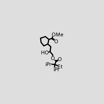 CCC(C(=O)OCC(O)CC1CCCCC1C(=O)OC)(C(C)C)C(C)C